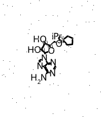 CC(C)[Si]1(OC[C@H]2OC(n3cnc4c(N)ncnc43)[C@@H](O)[C@@H]2O)CCCC1